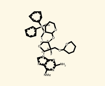 CNc1nc(N)nc2c1ncn2[C@@H]1O[C@H](CO[Si](c2ccccc2)(c2ccccc2)C(C)(C)C)[C@@H](OC2CCCCO2)[C@]1(F)COC1CCCCO1